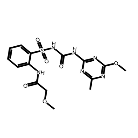 COCC(=O)Nc1ccccc1S(=O)(=O)NC(=O)Nc1nc(C)nc(OC)n1